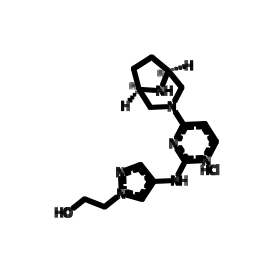 Cl.OCCn1cc(Nc2nccc(N3C[C@H]4CC[C@@H](C3)N4)n2)cn1